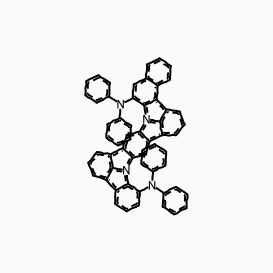 c1ccc(N(c2ccccc2)c2cccc3c4cccc5c6cc7c(cc6n(c23)c54)c2cccc3c4c5ccccc5cc(N(c5ccccc5)c5ccccc5)c4n7c23)cc1